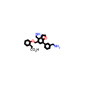 NCc1cccc(-c2cc(COc3ccccc3CC(=O)O)c(CN)c3ccoc23)c1